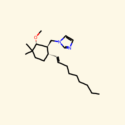 CCCCCCC/C=C/[C@@H]1CCC(C)(C)[C@H](OC)[C@H]1Cn1ccnc1